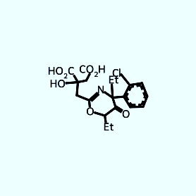 CCC1OC(CC(O)(CC(=O)O)C(=O)O)=NC(CC)(c2ccccc2Cl)C1=O